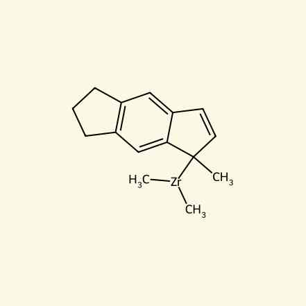 [CH3][Zr]([CH3])[C]1(C)C=Cc2cc3c(cc21)CCC3